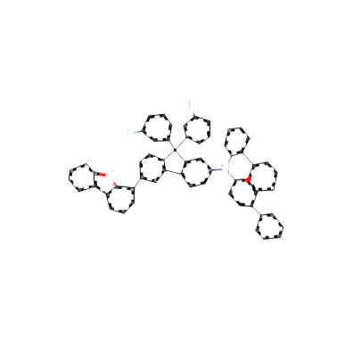 Fc1cccc(C2(c3cccc(F)c3)c3ccc(-c4cccc5c4oc4ccccc45)cc3-c3ccc(N(c4ccc(-c5ccccc5)cc4)c4ccccc4-c4ccccc4)cc32)c1